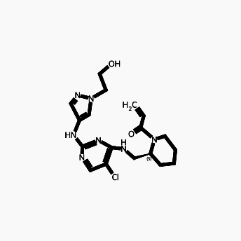 C=CC(=O)N1CCCC[C@H]1CNc1nc(Nc2cnn(CCO)c2)ncc1Cl